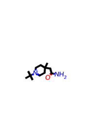 CC1(CC(N)=O)CCN(C(C)(C)C)CC1